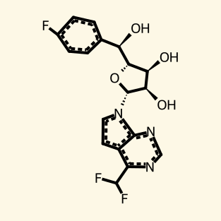 O[C@@H]1[C@H](O)[C@@H]([C@H](O)c2ccc(F)cc2)O[C@H]1n1ccc2c(C(F)F)ncnc21